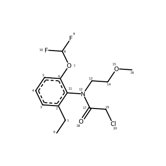 CCc1cccc(OC(F)F)c1N(CCOC)C(=O)CCl